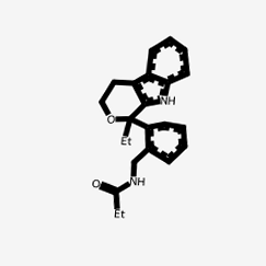 CCC(=O)NCc1ccccc1C1(CC)OCCc2c1[nH]c1ccccc21